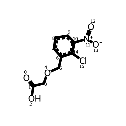 O=C(O)COCc1cccc([N+](=O)[O-])c1Cl